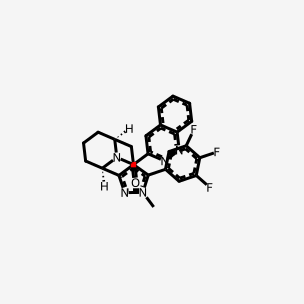 Cn1nc2c(c1-c1cc(F)c(F)c(F)c1)C[C@@H]1CCC[C@H]2N1C(=O)c1cc2ccccc2nn1